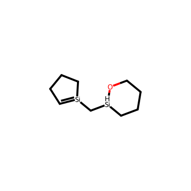 C1=[Si](C[SiH]2CCCCO2)CCC1